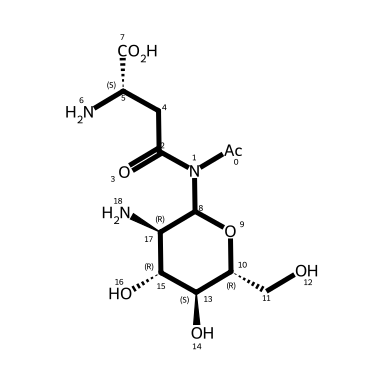 CC(=O)N(C(=O)C[C@H](N)C(=O)O)C1O[C@H](CO)[C@@H](O)[C@H](O)[C@H]1N